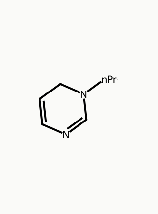 CC[CH]N1C=NC=CC1